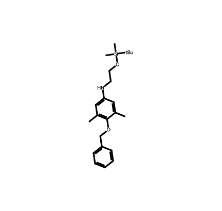 Cc1cc(NCCO[Si](C)(C)C(C)(C)C)cc(C)c1OCc1ccccc1